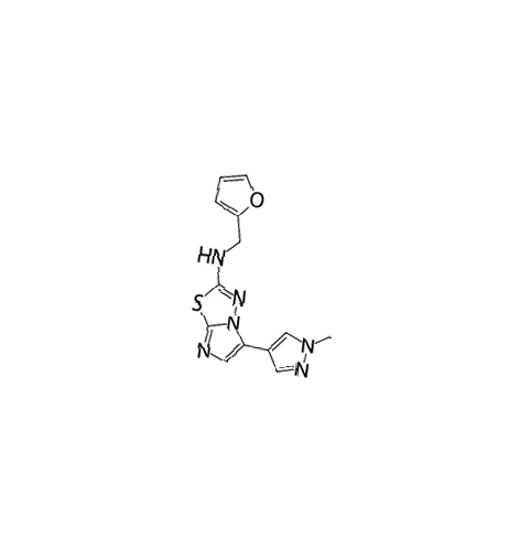 Cn1cc(-c2cnc3sc(NCc4ccco4)nn23)cn1